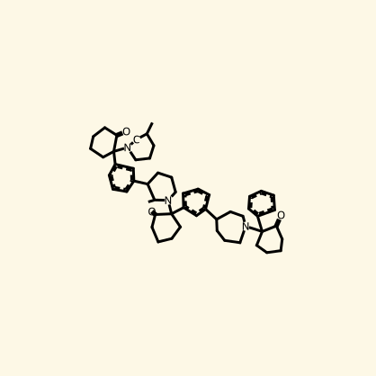 CC1CCCN(C2(c3cccc(C4CCCN(C5(c6cccc(C7CCCN(C8(c9ccccc9)CCCCC8=O)CC7)c6)CCCCC5=O)C4C)c3)CCCCC2=O)C1